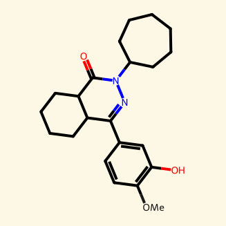 COc1ccc(C2=NN(C3CCCCCC3)C(=O)C3CCCCC23)cc1O